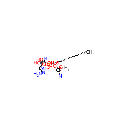 CCCCCCCCCCCCCCCCCCOC[C@@H](COP(=O)(O)OC[C@@]1(C#N)OC(c2ccc3c(N)ncnn23)[C@H](O)[C@@H]1O)OCc1ccc(C#N)cc1OC